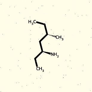 CC[C@H](C)C[C@@H](N)CC